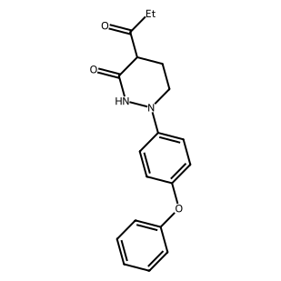 CCC(=O)C1CCN(c2ccc(Oc3ccccc3)cc2)NC1=O